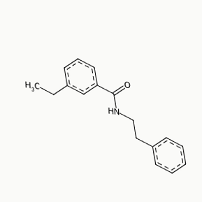 CCc1cccc(C(=O)NCCc2ccccc2)c1